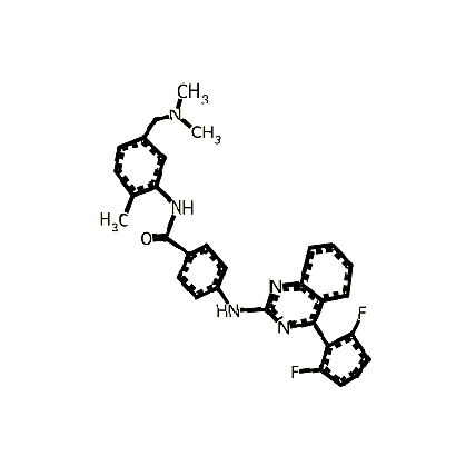 Cc1ccc(CN(C)C)cc1NC(=O)c1ccc(Nc2nc(-c3c(F)cccc3F)c3ccccc3n2)cc1